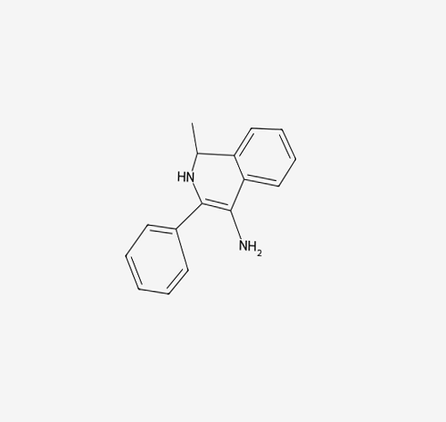 CC1NC(c2ccccc2)=C(N)c2ccccc21